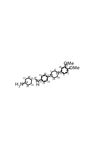 COc1ccc(N2CCN(c3ccc(NC[C@H]4CC[C@H](N)CC4)cc3)CC2)cc1OC